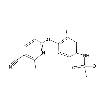 Cc1cc(NS(C)(=O)=O)ccc1Oc1ccc(C#N)c(C)n1